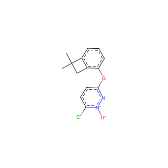 CC1(C)Cc2c(Oc3ccc(Cl)[n+]([O-])n3)cccc21